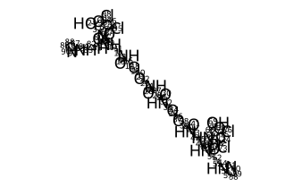 O=C(O)CC(NC(=O)[C@H](CCCCNC(=O)CCOCCOCCNC(=O)CCC(=O)NCCOCCOCCC(=O)NCCCC[C@H](NC(=O)CCCCNc1ccccn1)C(=O)NC(CC(=O)O)c1cc(Cl)cc(Cl)c1)NC(=O)CCCCNc1ccccn1)c1cc(Cl)cc(Cl)c1